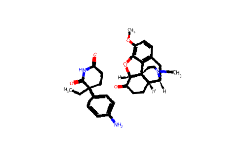 CCC1(c2ccc(N)cc2)CCC(=O)NC1=O.COc1ccc2c3c1O[C@H]1C(=O)CC[C@H]4[C@@H](C2)N(C)CC[C@]314